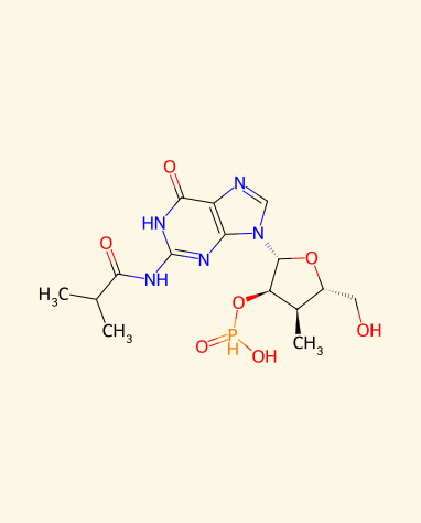 CC(C)C(=O)Nc1nc2c(ncn2[C@@H]2O[C@H](CO)[C@@H](C)[C@H]2O[PH](=O)O)c(=O)[nH]1